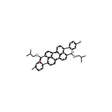 Cc1ccc(-c2ccc3c4ccc(C(=O)OCC(C)C)c5c(-c6ccc(F)cc6)ccc(c6ccc(C(=O)OCC(C)C)c2c63)c54)cc1